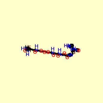 O=C(/C=C/CNC(=O)CCCC(=O)NCCCOCCOCCOCCCNC(=O)CCCC[C@@H]1SC[C@@H]2NC(=O)N[C@@H]21)CCC(=O)N1CCN(Cc2cc3nc(-c4cccc5[nH]ncc45)nc(N4CCOCC4)c3s2)CC1